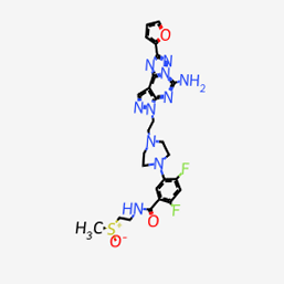 C[S@+]([O-])CCNC(=O)c1cc(N2CCN(CCn3ncc4c3nc(N)n3nc(-c5ccco5)nc43)CC2)c(F)cc1F